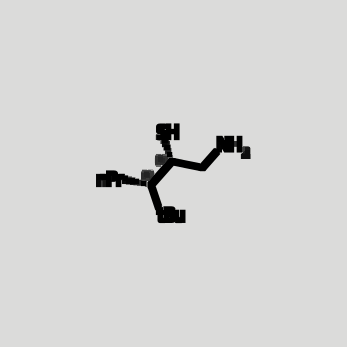 CCC[C@H]([C@H](S)CN)C(C)(C)C